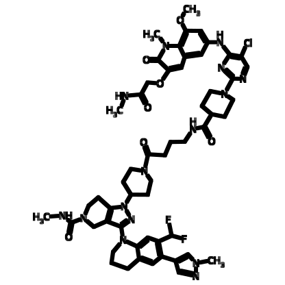 CNC(=O)COc1cc2cc(Nc3nc(N4CCC(C(=O)NCCCC(=O)N5CCC(n6nc(N7CCCc8cc(-c9cnn(C)c9)c(C(F)F)cc87)c7c6CCN(C(=O)NC)C7)CC5)CC4)ncc3Cl)cc(OC)c2n(C)c1=O